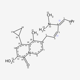 CCC/C=C(\C=C/Cc1ccn2c(=O)c(C(=O)O)cc(C3CC3)c2c1C)N(C)C